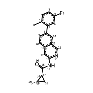 Cc1ccc(F)cc1-c1ccc2cc(NC(=O)[C@H]3C[C@@H]3C)ncc2c1